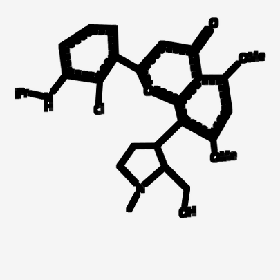 COc1cc(OC)c2c(=O)cc(-c3cccc(NC(C)C)c3Cl)oc2c1C1CCN(C)C1CO